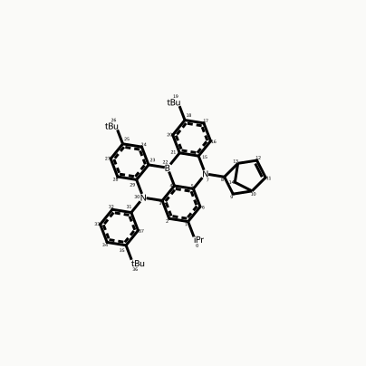 CC(C)c1cc2c3c(c1)N(C1CC4C=CC1C4)c1ccc(C(C)(C)C)cc1B3c1cc(C(C)(C)C)ccc1N2c1cccc(C(C)(C)C)c1